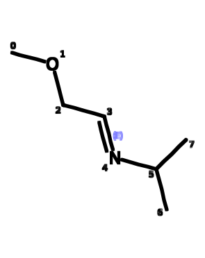 COC/C=N/C(C)C